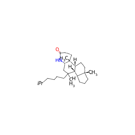 CC(C)CCCCC1(C)CC2NC(=O)CC[C@]2(C)[C@@H]2CC[C@]3(C)CCC[C@H]3[C@@H]21